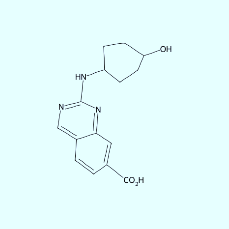 O=C(O)c1ccc2cnc(NC3CCC(O)CC3)nc2c1